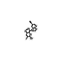 C#Cc1cnc(F)c(Nc2ncnc3cc(F)c(Br)nc23)c1